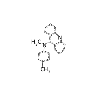 Cc1ccc(N(C)c2c3ccccc3nc3ccccc23)cc1